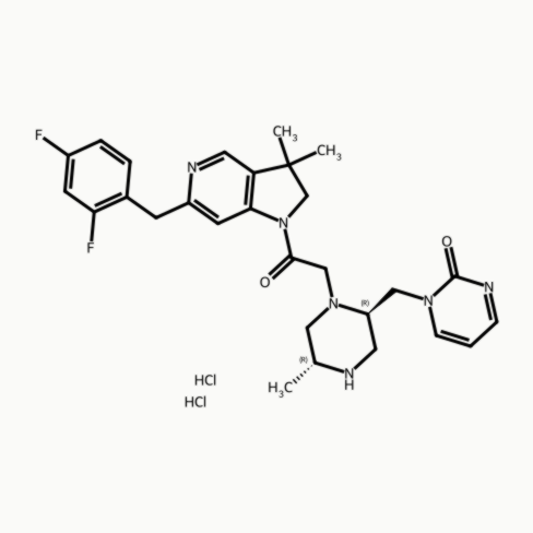 C[C@@H]1CN(CC(=O)N2CC(C)(C)c3cnc(Cc4ccc(F)cc4F)cc32)[C@@H](Cn2cccnc2=O)CN1.Cl.Cl